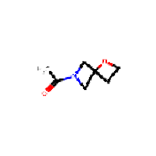 CC(=O)N1CC2(CCO2)C1